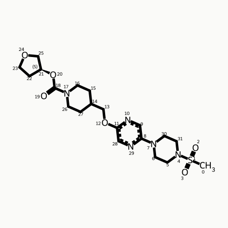 CS(=O)(=O)N1CCN(c2cnc(OCC3CCN(C(=O)O[C@H]4CCOC4)CC3)cn2)CC1